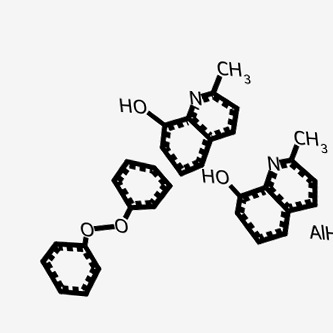 Cc1ccc2cccc(O)c2n1.Cc1ccc2cccc(O)c2n1.[AlH3].c1ccc(OOc2ccccc2)cc1